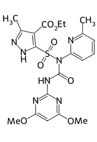 CCOC(=O)c1c(C)n[nH]c1S(=O)(=O)N(C(=O)Nc1nc(OC)cc(OC)n1)c1cccc(C)n1